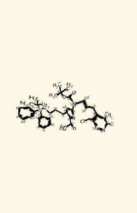 Cc1c(Cl)nnc(Cl)c1CCCN(C(=O)OC(C)(C)C)c1nc(C(=O)O)c(CCCO[Si](c2ccccc2)(c2ccccc2)C(C)(C)C)s1